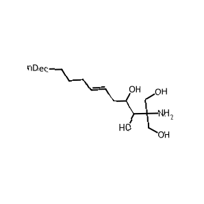 CCCCCCCCCCCCCC=CCC(O)C(O)C(N)(CO)CO